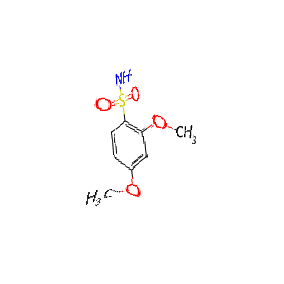 COc1ccc(S([NH])(=O)=O)c(OC)c1